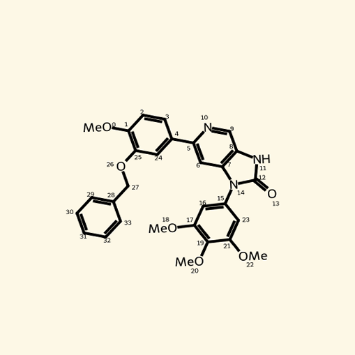 COc1ccc(-c2cc3c(cn2)[nH]c(=O)n3-c2cc(OC)c(OC)c(OC)c2)cc1OCc1ccccc1